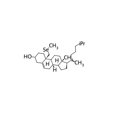 C[Se]C[C@]12CCC(O)CC1=CC[C@@H]1[C@@H]2CC[C@]2(C)[C@@H]([C@H](C)CCCC(C)C)CC[C@@H]12